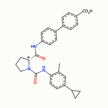 Cc1cc(C2CC2)ccc1NC(=O)N1CCC[C@@H]1C(=O)Nc1ccc(-c2ccc(C(=O)O)cc2)cc1